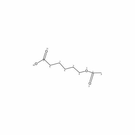 CC(=O)OCCCCCC([O])=O